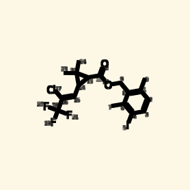 Cc1ccc(I)c(C)c1COC(=O)C1C(C=C(Cl)C(F)(F)F)C1(C)C